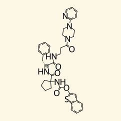 O=C(NC1(C(=O)N[C@H](Cc2ccccc2)C(=O)NCCC(=O)N2CCN(c3ccccn3)CC2)CCCC1)Oc1cc2ccccc2s1